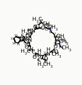 C/C=C(\C)[C@H]1OC(=O)[C@@H](C)NC(=O)C(C(C)CC)NC(=O)CN(C)C(=O)[C@@H](Cc2csc3ccccc23)N(C)C(=O)[C@H](C)NC(=O)[C@@H](CC(C)C)OC(=O)/C(C)=C/C[C@H](O)[C@@H]1C